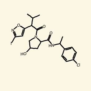 CC(NC(=O)C1CC(O)CN1C(=O)C(c1cc(I)no1)C(C)C)c1ccc(Cl)cc1